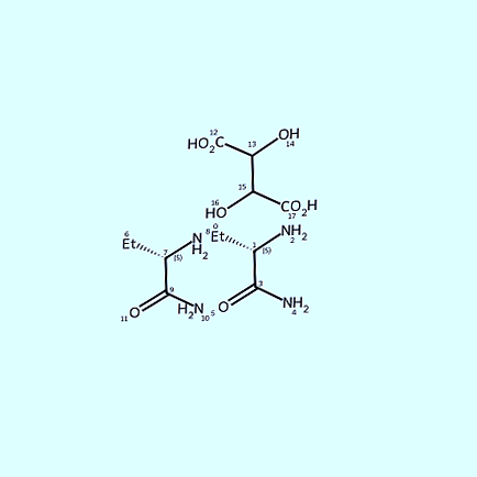 CC[C@H](N)C(N)=O.CC[C@H](N)C(N)=O.O=C(O)C(O)C(O)C(=O)O